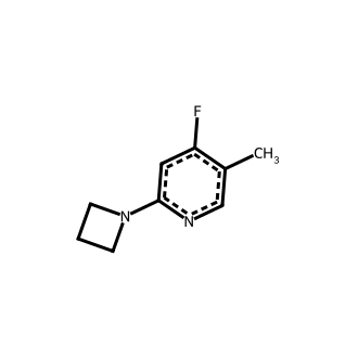 Cc1cnc(N2CCC2)cc1F